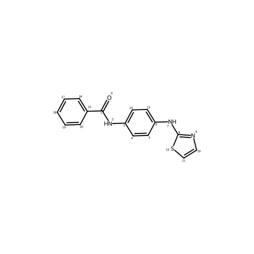 O=C(Nc1ccc(Nc2nccs2)cc1)c1ccccc1